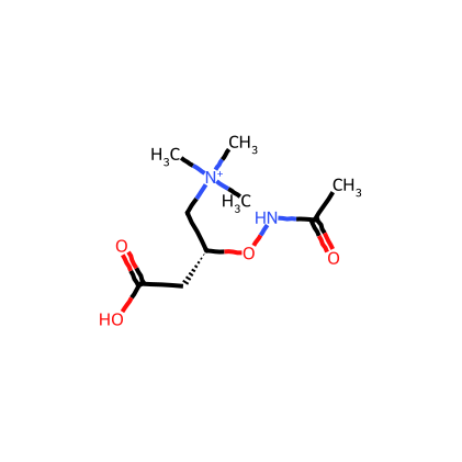 CC(=O)NO[C@H](CC(=O)O)C[N+](C)(C)C